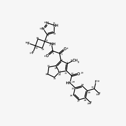 Cc1c(C(=O)C(=O)NC2(c3c[nH]nn3)CC(F)(F)C2)c2n(c1C(=O)Nc1ccc(F)c(C(F)F)c1)CCC2